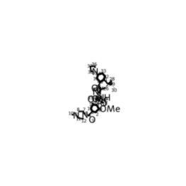 COc1cc(C(=O)N2CCN(C)CC2)cc(OC)c1S(=O)(=O)Nc1noc2c1C[C@@]1(C[C@@H]1C)c1ccc(N3CCC3)cc1-2